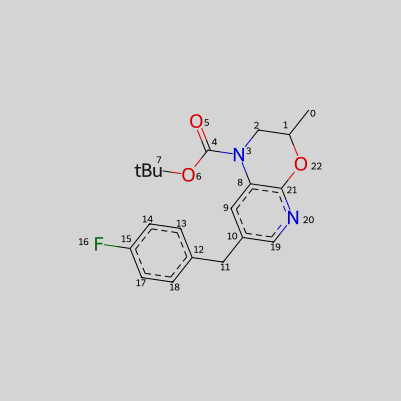 CC1CN(C(=O)OC(C)(C)C)c2cc(Cc3ccc(F)cc3)cnc2O1